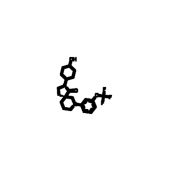 O=C1N(C2CCC(O)CC2)CC[C@]12CCCN(c1cccc(OC(F)(F)F)c1)C2